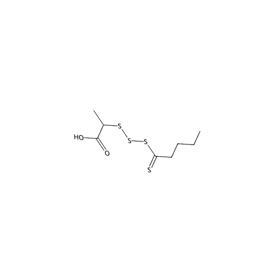 CCCCC(=S)SSSC(C)C(=O)O